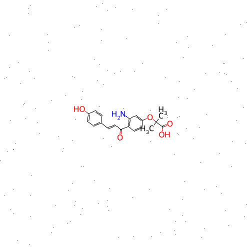 CC(C)(Oc1ccc(C(=O)/C=C/c2ccc(O)cc2)c(N)c1)C(=O)O